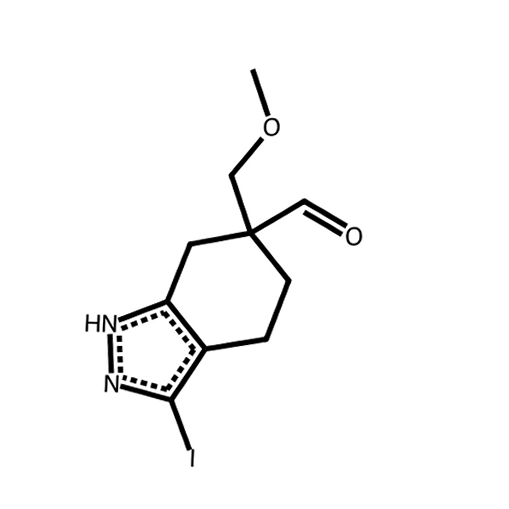 COCC1(C=O)CCc2c(I)n[nH]c2C1